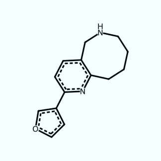 c1cc(-c2ccc3c(n2)CCCCNC3)co1